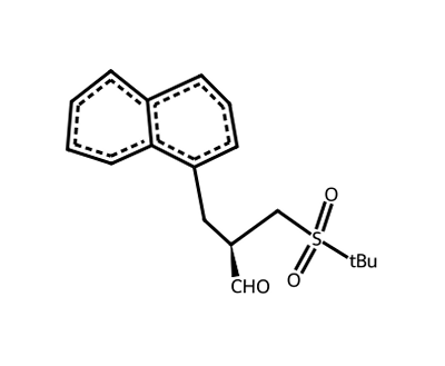 CC(C)(C)S(=O)(=O)C[C@@H](C=O)Cc1cccc2ccccc12